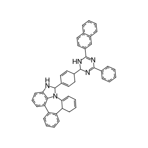 C1=CCC2C(=C1)N1c3c(cccc3-c3ccccc32)NC1C1=CCC(C2N=C(c3ccccc3)N=C(c3ccc4ccccc4c3)N2)C=C1